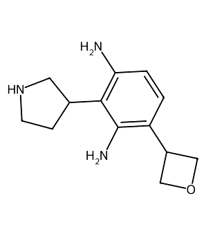 Nc1ccc(C2COC2)c(N)c1C1CCNC1